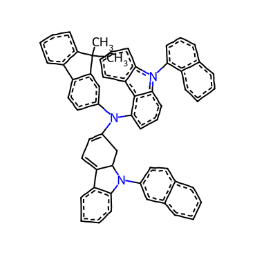 CC1(C)c2ccccc2-c2ccc(N(C3=CC=C4c5ccccc5N(c5ccc6ccccc6c5)C4C3)c3cccc4c3c3ccccc3n4-c3cccc4ccccc34)cc21